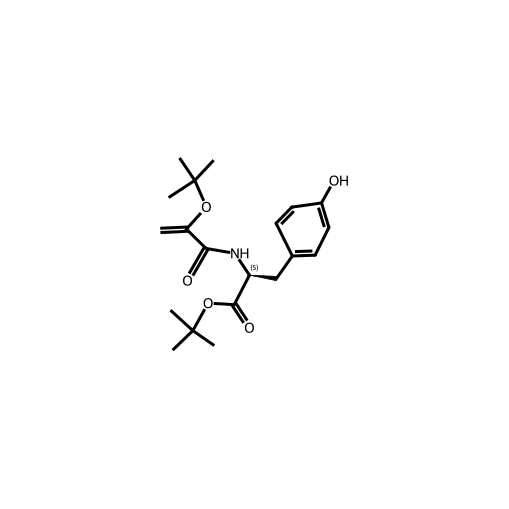 C=C(OC(C)(C)C)C(=O)N[C@@H](Cc1ccc(O)cc1)C(=O)OC(C)(C)C